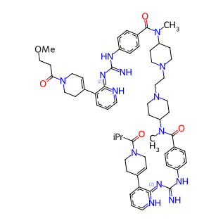 COCCC(=O)N1CC=C(c2ccc[nH]/c2=N\C(=N)Nc2ccc(C(=O)N(C)C3CCN(CCN4CCC(N(C)C(=O)c5ccc(NC(=N)/N=c6\[nH]cccc6C6=CCN(C(=O)C(C)C)CC6)cc5)CC4)CC3)cc2)CC1